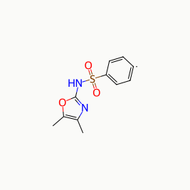 Cc1nc(NS(=O)(=O)c2cc[c]cc2)oc1C